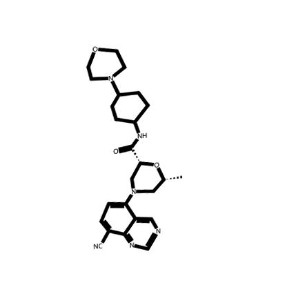 C[C@@H]1CN(c2ccc(C#N)c3ncncc23)C[C@H](C(=O)NC2CCC(N3CCOCC3)CC2)O1